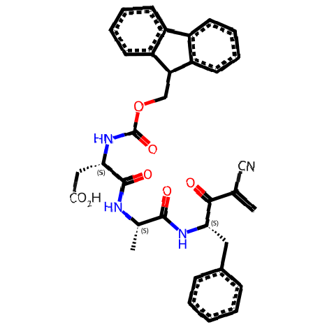 C=C(C#N)C(=O)[C@H](Cc1ccccc1)NC(=O)[C@H](C)NC(=O)[C@H](CC(=O)O)NC(=O)OCC1c2ccccc2-c2ccccc21